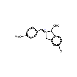 COc1ccc(/C=C2\Cc3cc(Cl)ccc3C2C=O)cc1